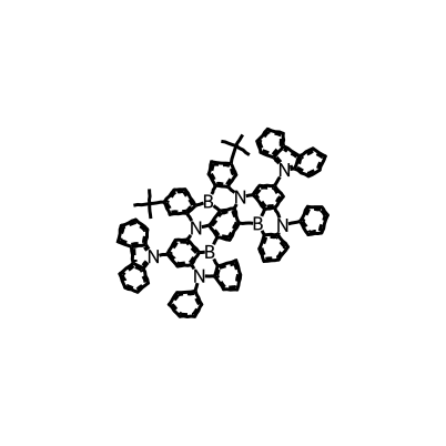 CC(C)(C)c1ccc2c(c1)N1c3cc(-n4c5ccccc5c5ccccc54)cc4c3B(c3ccccc3N4c3ccccc3)c3cc4c5c(c31)B2c1ccc(C(C)(C)C)cc1N5c1cc(-n2c3ccccc3c3ccccc32)cc2c1B4c1ccccc1N2c1ccccc1